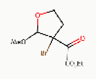 CCOC(=O)C(=O)C1(Br)CCOC1OC